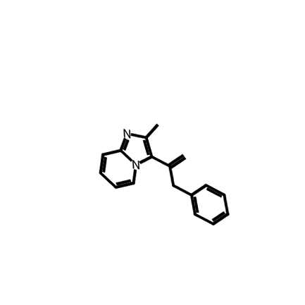 C=C(Cc1ccccc1)c1c(C)nc2ccccn12